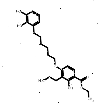 CCCc1c(OCCCCCCc2cccc(O)c2O)ccc(C(=O)OCC)c1O